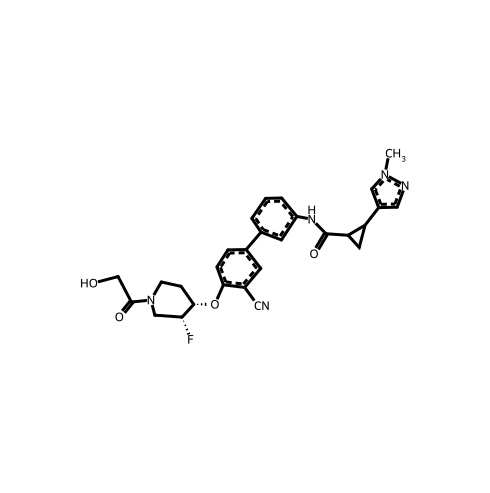 Cn1cc(C2CC2C(=O)Nc2cccc(-c3ccc(O[C@H]4CCN(C(=O)CO)C[C@H]4F)c(C#N)c3)c2)cn1